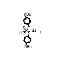 CCCCc1ccc(OP(O)(=S)Sc2ccc(CCCC)cc2)cc1.[BaH2]